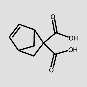 O=C(O)C1(C(=O)O)CC2C=CC1C2